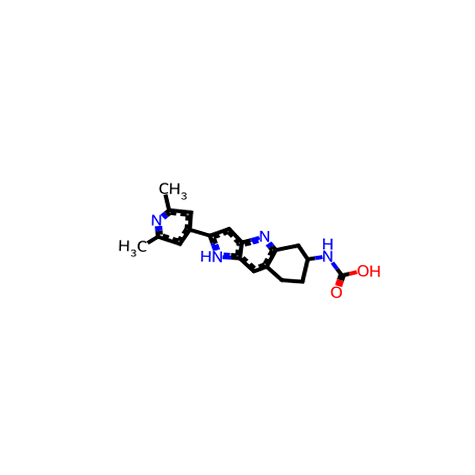 Cc1cc(-c2cc3nc4c(cc3[nH]2)CCC(NC(=O)O)C4)cc(C)n1